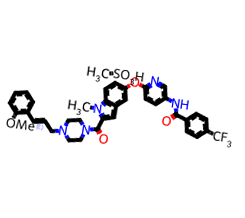 COc1ccccc1/C=C/CN1CCN(C(=O)c2cc3cc(Oc4ccc(NC(=O)c5ccc(C(F)(F)F)cc5)cn4)ccc3n2C)CC1.CS(=O)(=O)O